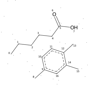 CCCCCC(=O)O.Cc1ccc(C)c(C)c1